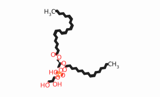 CCCCC/C=C\C/C=C\C/C=C\C/C=C\CCCCCC(=O)OC[C@H](COP(=O)(O)OC[C@@H](O)CO)OC(=O)CCCCCCC/C=C\CCCCCC